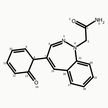 NC(=O)CN1N=CC(C2C=CC=CC2=O)=Cc2ccccc21